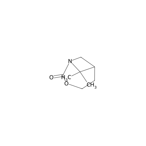 CC1(C)C2CCOC(=O)N1C2